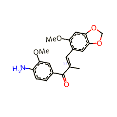 COc1cc(C(=O)/C(C)=C/c2cc3c(cc2OC)OCO3)ccc1N